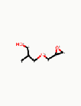 CC(CO)COCC1CO1